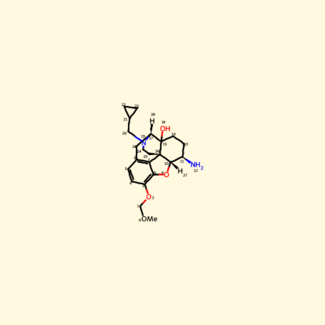 COCOc1ccc2c3c1O[C@H]1[C@H](N)CCC4(O)[C@@H](C2)N(CC2CC2)CC[C@]314